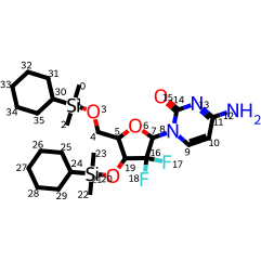 C[Si](C)(OCC1OC(n2ccc(N)nc2=O)C(F)(F)C1O[Si](C)(C)C1CCCCC1)C1CCCCC1